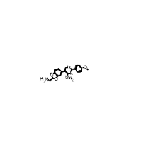 COc1ccc(-c2ncc(-c3ccc4c(c3)OC(CN)O4)c(N)n2)cc1